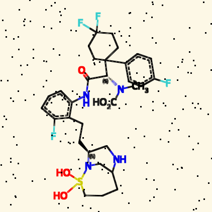 CN(C(=O)O)[C@H](C(=O)Nc1cccc(F)c1CC[C@H]1CNC2CCCS(O)(O)N1C2)C1(c2ccc(F)cc2)CCC(F)(F)CC1